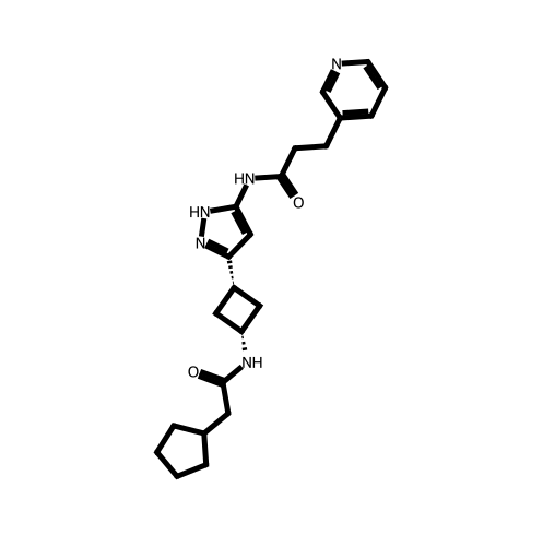 O=C(CCc1cccnc1)Nc1cc([C@H]2C[C@@H](NC(=O)CC3CCCC3)C2)n[nH]1